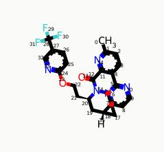 Cc1ccc(-c2ncccn2)c(C(=O)N2CC3C[C@@H]3C[C@H]2CCOc2ccc(C(F)(F)F)cn2)n1